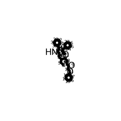 N=C1N(CC2CCN(C(=O)COc3ccccc3)CC2)C(=O)C(c2ccccc2)N1c1ccccc1